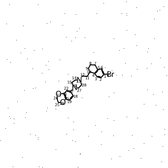 Brc1ccc2c(c1)CCCC2CCN1CCN(c2ccc3c(c2)OCCO3)CC1